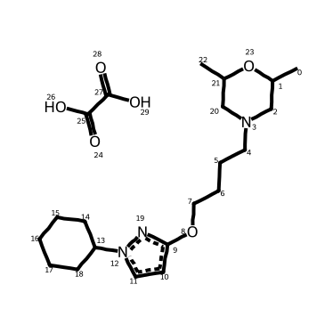 CC1CN(CCCCOc2ccn(C3CCCCC3)n2)CC(C)O1.O=C(O)C(=O)O